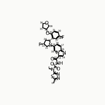 Cc1nnc(N(C)S(=O)(=O)NC(=O)c2cnc3ccc(N4C[C@@H](F)C[C@@H]4c4cc(F)ccc4O[C@@H]4CCOC4)cn23)s1